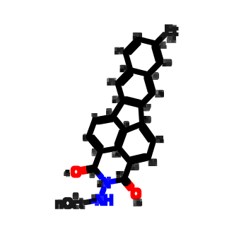 CCCCCCCCNN1C(=O)c2ccc3c4c(ccc(c24)C1=O)-c1cc2cc(CC)ccc2cc1-3